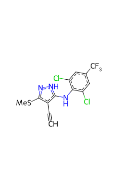 C#Cc1c(SC)n[nH]c1Nc1c(Cl)cc(C(F)(F)F)cc1Cl